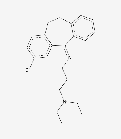 CCN(CC)CCCN=C1c2ccccc2CCc2ccc(Cl)cc21